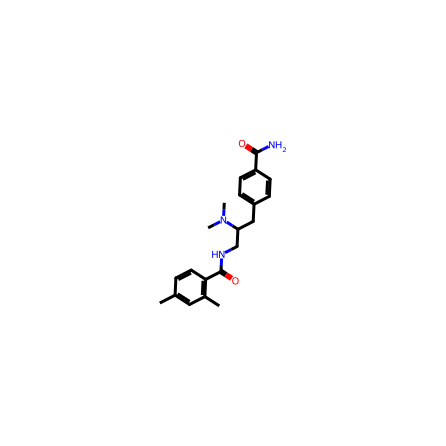 Cc1ccc(C(=O)NCC(Cc2ccc(C(N)=O)cc2)N(C)C)c(C)c1